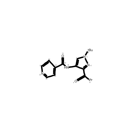 CC(C)C(=O)c1nn(C(C)(C)C)cc1NC(=O)c1ccncc1